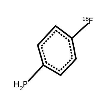 [18F]c1ccc(P)cc1